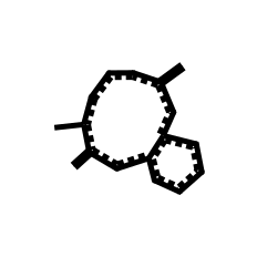 C=c1cccc(C)c(=C)cc2ccccc2c1